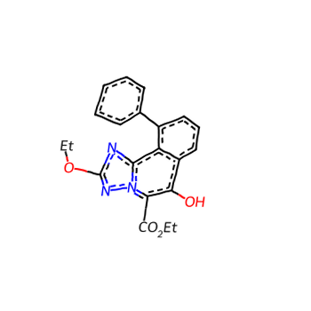 CCOC(=O)c1c(O)c2cccc(-c3ccccc3)c2c2nc(OCC)nn12